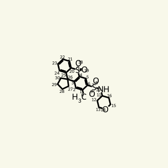 Cc1cc2c(cc1S(=O)(=O)NC1CCOCC1)S(=O)(=O)c1ccccc1C21CCCC1